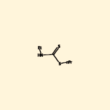 CCCSC(=S)NCC